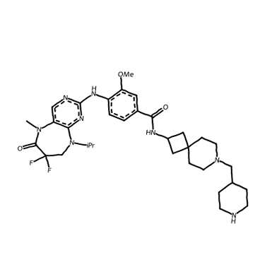 COc1cc(C(=O)NC2CC3(CCN(CC4CCNCC4)CC3)C2)ccc1Nc1ncc2c(n1)N(C(C)C)CC(F)(F)C(=O)N2C